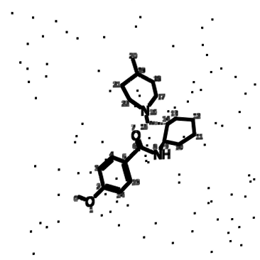 COc1ccc(C(=O)N[C@@H]2CCCC[C@H]2CN2CCC(C)CC2)cc1